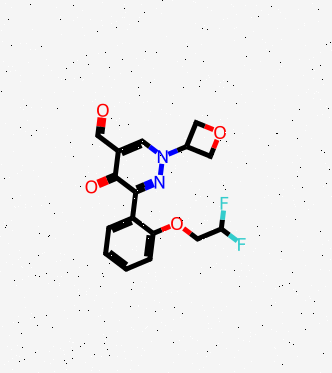 O=Cc1cn(C2COC2)nc(-c2ccccc2OCC(F)F)c1=O